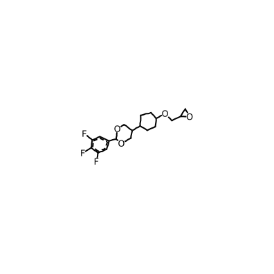 Fc1cc(C2OCC(C3CCC(OCC4CO4)CC3)CO2)cc(F)c1F